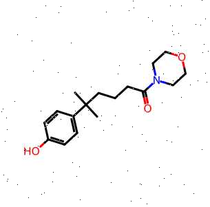 CC(C)(CCCC(=O)N1CCOCC1)c1ccc(O)cc1